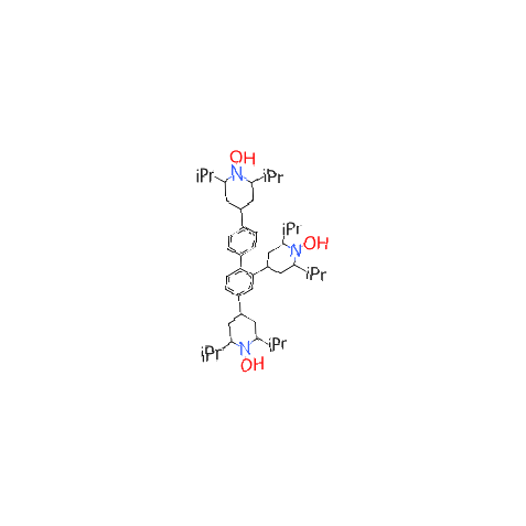 CC(C)C1CC(c2ccc(-c3ccc(C4CC(C(C)C)N(O)C(C(C)C)C4)cc3C3CC(C(C)C)N(O)C(C(C)C)C3)cc2)CC(C(C)C)N1O